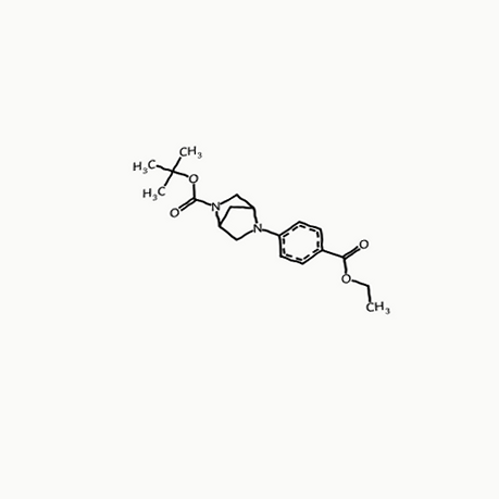 CCOC(=O)c1ccc(N2CC3CC2CN3C(=O)OC(C)(C)C)cc1